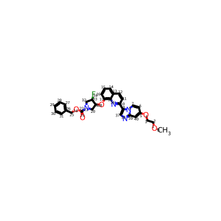 COCCOc1ccn2c(-c3ccc4cccc(OC5CN(C(=O)OCc6ccccc6)CC5F)c4n3)cnc2c1